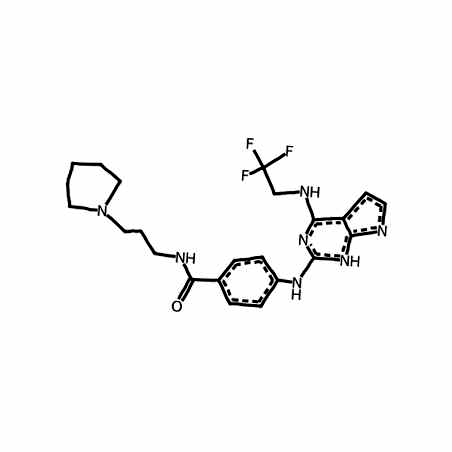 O=C(NCCCN1CCCCC1)c1ccc(Nc2nc(NCC(F)(F)F)c3ccnc-3[nH]2)cc1